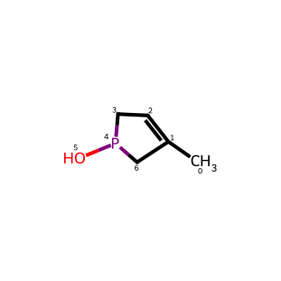 CC1=CCP(O)C1